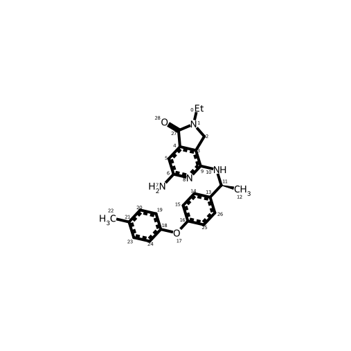 CCN1Cc2c(cc(N)nc2N[C@@H](C)c2ccc(Oc3ccc(C)cc3)cc2)C1=O